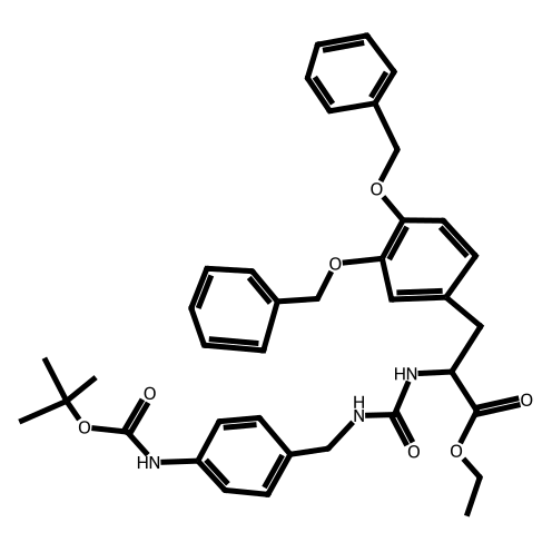 CCOC(=O)C(Cc1ccc(OCc2ccccc2)c(OCc2ccccc2)c1)NC(=O)NCc1ccc(NC(=O)OC(C)(C)C)cc1